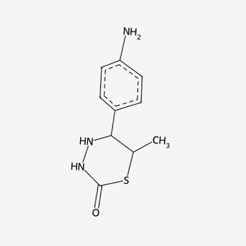 CC1SC(=O)NNC1c1ccc(N)cc1